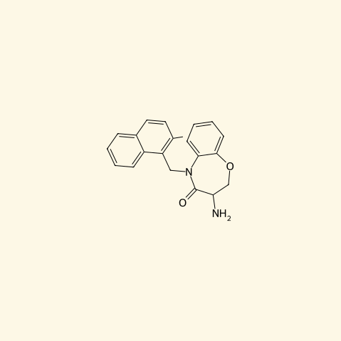 Cc1ccc2ccccc2c1CN1C(=O)C(N)COc2ccccc21